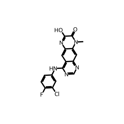 Cn1c(=O)c(O)nc2cc3c(Nc4ccc(F)c(Cl)c4)ncnc3cc21